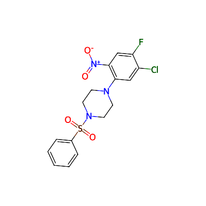 O=[N+]([O-])c1cc(F)c(Cl)cc1N1CCN(S(=O)(=O)c2ccccc2)CC1